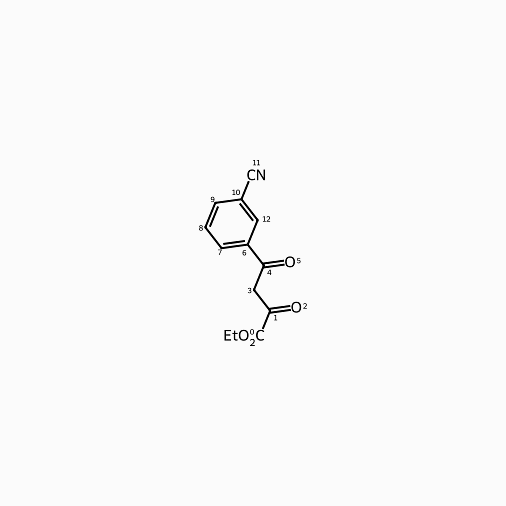 CCOC(=O)C(=O)CC(=O)c1cccc(C#N)c1